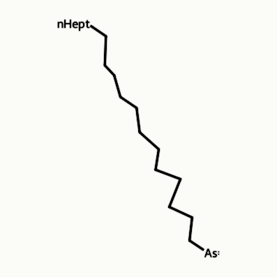 CCCCCCCCCCCCCCCCCCC[As]